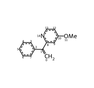 C=C(c1ccccc1)c1cc(OC)ccn1